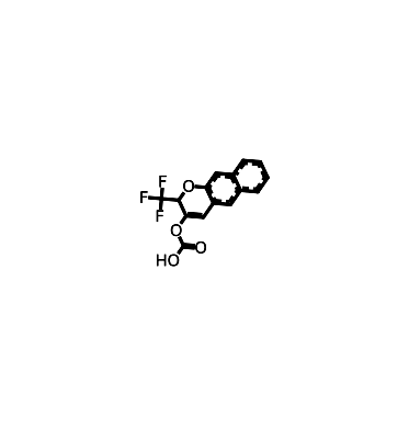 O=C(O)OC1=Cc2cc3ccccc3cc2OC1C(F)(F)F